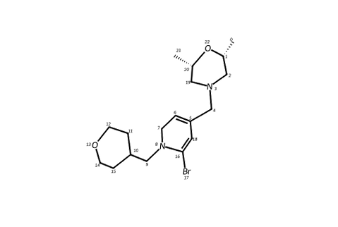 C[C@@H]1CN(CC2=CCN(CC3CCOCC3)C(Br)=C2)C[C@H](C)O1